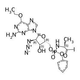 CCOc1nc(N)nc2c1ncn2[C@@H]1O[C@H](CO[P@](=O)(N[C@@H](C)C(=O)I)Oc2ccccc2)[C@@H](O)[C@H]1N=[N+]=[N-]